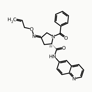 C=CCON=C1C[C@@H](C(=O)Nc2ccc3ncccc3c2)N(C(=O)c2ccccc2)C1